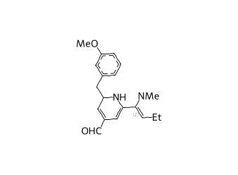 CC/C=C(\NC)C1=CC(C=O)=CC(Cc2cccc(OC)c2)N1